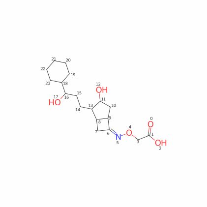 O=C(O)CO/N=C1/CC2C1CC(O)C2CCC(O)C1CCCCC1